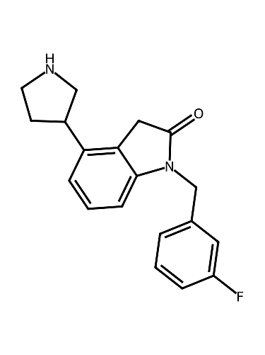 O=C1Cc2c(C3CCNC3)cccc2N1Cc1cccc(F)c1